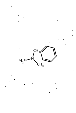 CN(C)P.c1ccccc1